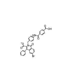 COC(=O)c1c(-c2ccccc2)c2cc(Br)ccc2c(=O)n1Cc1ccc(NC(=O)c2ccc(C(=O)O)cc2)cc1